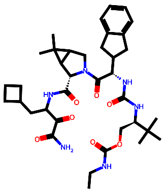 CCNC(=O)OC[C@@H](NC(=O)N[C@H](C(=O)N1CC2C([C@H]1C(=O)NC(CC1CCC1)C(=O)C(N)=O)C2(C)C)C1Cc2ccccc2C1)C(C)(C)C